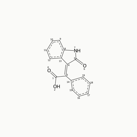 O=C(O)C(=C1C(=O)Nc2ccccc21)c1ccccc1